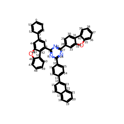 c1ccc(-c2cc(-c3nc(-c4ccc(-c5ccc6ccccc6c5)cc4)nc(-c4ccc5c(c4)oc4ccccc45)n3)c3c(c2)oc2ccccc23)cc1